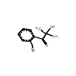 [2H]c1ccccc1C(=O)C(C)(C)O